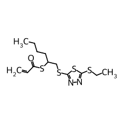 C=CC(=O)SC(CCCC)CSc1nnc(SCC)s1